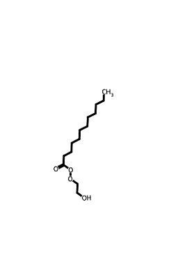 CCCCCCCCCCCC(=O)OOCCO